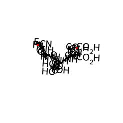 CC(NC(=O)c1ccnc(CNC(=O)CCC(=O)NC(CCCCNC(=O)CN2CCN(CC(=O)O)CCN(CC(=O)O)CCN(CC(=O)O)CC2)C(=O)N[C@@H]2[C@@H](O)[C@H](C)C(O)O[C@H]2CO)c1)C(=O)N1CC(F)(F)C[C@H]1C#N